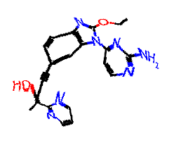 CCOc1nc2ccc(C#CC(C)(O)c3ncccn3)cc2n1-c1ccnc(N)n1